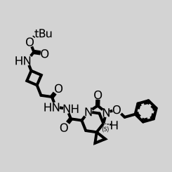 CC(C)(C)OC(=O)NC1CC(CC(=O)NNC(=O)C2CC3(CC3)[C@H]3CN2C(=O)N3OCc2ccccc2)C1